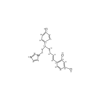 Clc1ccc(C(CCn2ccnc2)SCC=Cc2ccc(Cl)cc2Cl)cc1